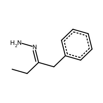 CCC(Cc1ccccc1)=NN